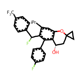 CC(C)c1cc2c(c(-c3ccc(F)cc3)c1[C@@H](F)c1ccc(C(F)(F)F)cc1)[C@@H](O)CC1(CC1)O2